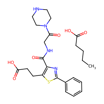 CCCCC(=O)O.O=C(O)CCc1sc(-c2ccccc2)nc1C(=O)NCC(=O)N1CCNCC1